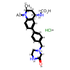 CC(=O)N1c2ccc(-c3ccc(CN4CCNC(=O)C4)cc3)cc2[C@H](NC(=O)O)C[C@@H]1C.Cl